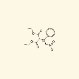 CCOC(=O)C(C(=O)OCC)[C@H](C[N+](=O)[O-])c1ccccc1